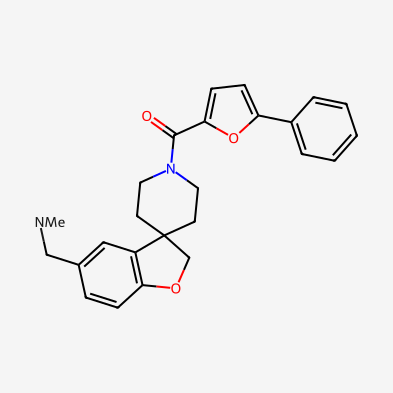 CNCc1ccc2c(c1)C1(CCN(C(=O)c3ccc(-c4ccccc4)o3)CC1)CO2